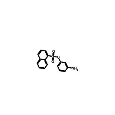 Nc1cccc(OS(=O)(=O)c2cccc3ccccc23)c1